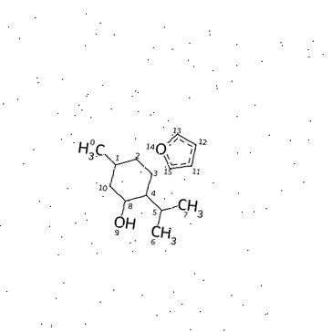 CC1CCC(C(C)C)C(O)C1.c1ccoc1